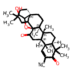 CC1(C)CC[C@@]23CC[C@]4(C)[C@](OC2CO)(C(=O)C[C@@H]2[C@@]5(C)C=C(C#N)C(=O)C(C)(C)[C@@H]5CC[C@]24C)C3C1